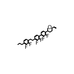 C=CC1CCC(c2ccc(-c3ccc(CCc4ccc(CCC)c(F)c4F)c(F)c3F)c(F)c2F)CO1